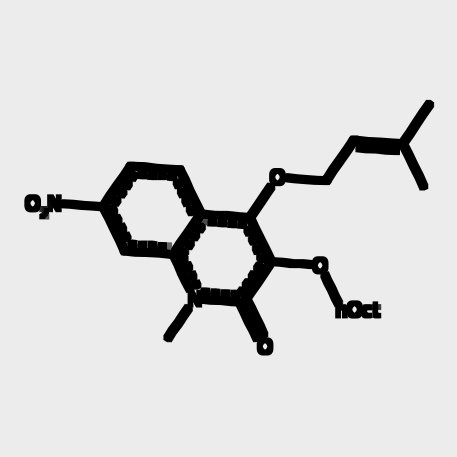 CCCCCCCCOc1c(OCC=C(C)C)c2ccc([N+](=O)[O-])cc2n(C)c1=O